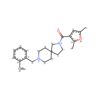 Cc1cc(C(=O)N2CCC3(CCN(Cc4ccccc4OCC(C)C)CC3)C2)c(C)o1